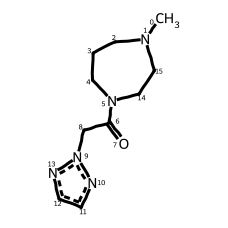 CN1CCCN(C(=O)Cn2nccn2)CC1